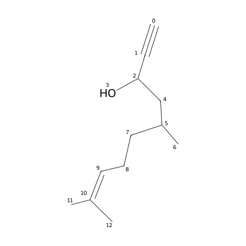 C#CC(O)CC(C)CCC=C(C)C